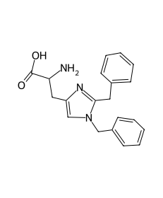 NC(Cc1cn(Cc2ccccc2)c(Cc2ccccc2)n1)C(=O)O